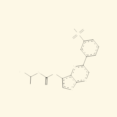 CC(C)NC(=O)Oc1c[nH]c2ncc(-c3cccc(S(C)(=O)=O)c3)nc12